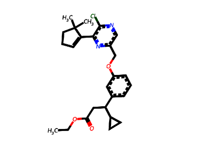 CCOC(=O)CC(c1cccc(OCc2cnc(Cl)c(C3=CCCC3(C)C)n2)c1)C1CC1